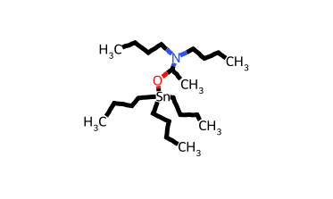 CCCCN(CCCC)C(C)[O][Sn]([CH2]CCC)([CH2]CCC)[CH2]CCC